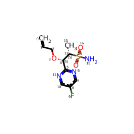 C=CCO[C@@H](c1ncc(F)cn1)[C@H](C)S(N)(=O)=O